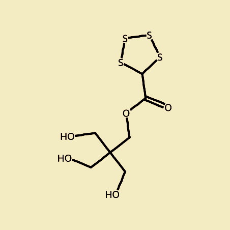 O=C(OCC(CO)(CO)CO)C1SSSS1